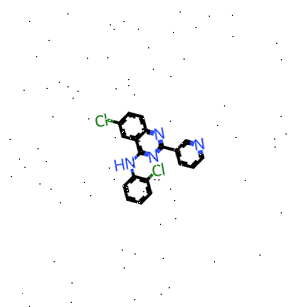 Clc1ccc2nc(-c3cccnc3)nc(Nc3ccccc3Cl)c2c1